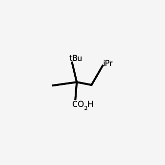 CC(C)CC(C)(C(=O)O)C(C)(C)C